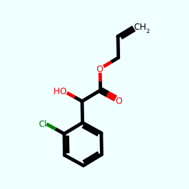 C=CCOC(=O)C(O)c1ccccc1Cl